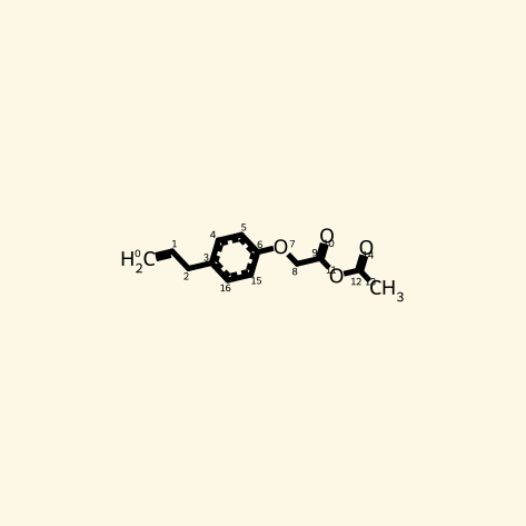 C=CCc1ccc(OCC(=O)OC(C)=O)cc1